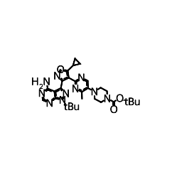 Cc1nc(-c2c(-c3nn(C(C)(C)C)c4ncnc(N)c34)noc2C2CC2)ncc1N1CCN(C(=O)OC(C)(C)C)CC1